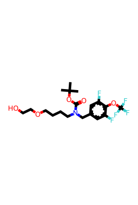 CC(C)(C)OC(=O)N(CCCCOCCO)Cc1cc(F)c(OC(F)(F)F)c(F)c1